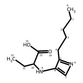 CCCCCC1=NC=C1NC(CC)C(=O)O